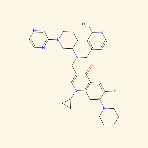 Cc1cc(CN(Cc2cn(C3CC3)c3cc(N4CCCCC4)c(F)cc3c2=O)C2CCCN(c3cnccn3)C2)ccn1